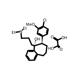 CCN(CC)CCC[C@]1(O)c2ccccc2CCC[C@@H]1c1ccc(Cl)c(OC)c1.O=C(O)C(=O)O